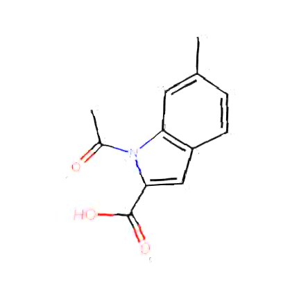 CC(=O)n1c(C(=O)O)cc2ccc(C)cc21